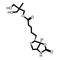 CC(CO)(CO)COC(=O)CCCC[C@@H]1SCC2NC(=O)O[C@@H]21